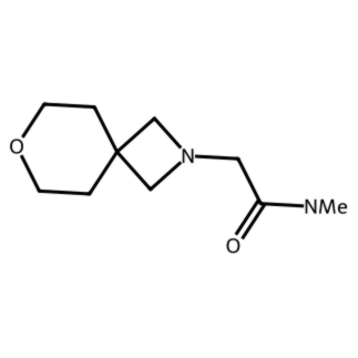 CNC(=O)CN1CC2(CCOCC2)C1